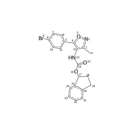 Cc1noc(-c2ccc(Br)cc2)c1NC(=O)OC1CCc2ccccc21